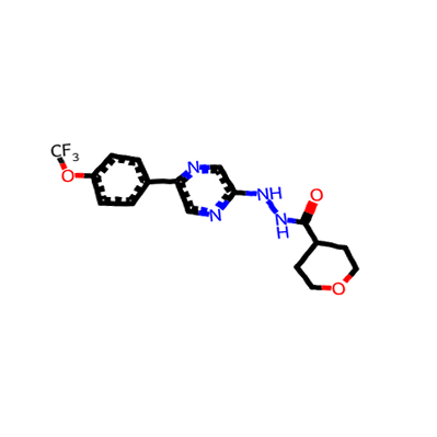 O=C(NNc1cnc(-c2ccc(OC(F)(F)F)cc2)cn1)C1CCOCC1